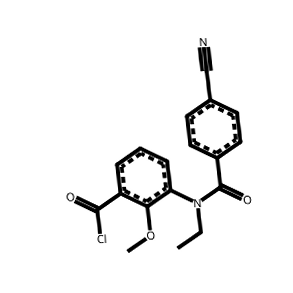 CCN(C(=O)c1ccc(C#N)cc1)c1cccc(C(=O)Cl)c1OC